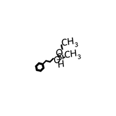 CCCO[SiH](CC)OCCCc1ccccc1